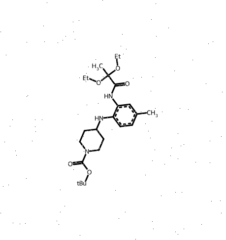 CCOC(C)(OCC)C(=O)Nc1cc(C)ccc1NC1CCN(C(=O)OC(C)(C)C)CC1